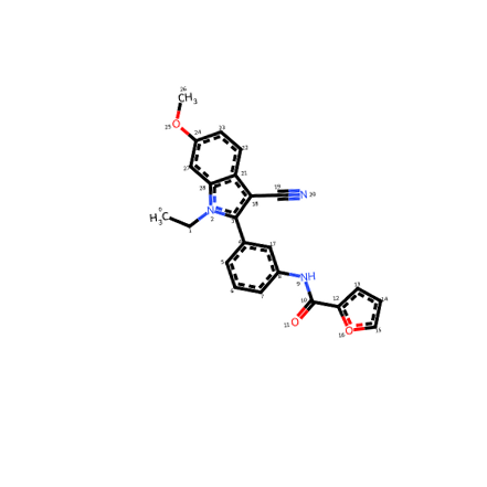 CCn1c(-c2cccc(NC(=O)c3ccco3)c2)c(C#N)c2ccc(OC)cc21